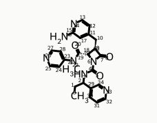 CCC(NC(=O)N1C(=O)[C@H](Cc2ccnc(N)c2)[C@H]1C(=O)N(C)c1ccncc1)c1cccnc1